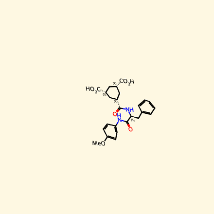 COc1ccc(NC(=O)[C@H](Cc2ccccc2)NC(=O)[C@@H]2C[C@H](C(=O)O)C[C@H](C(=O)O)C2)cc1